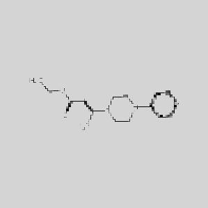 CCOC(=O)C=C(N)N1CCN(c2ccccc2)CC1